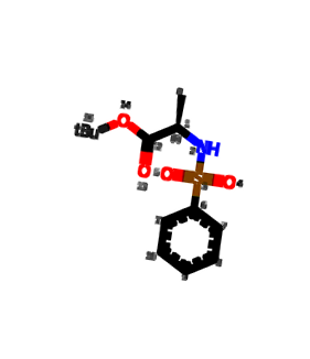 C[C@@H](NS(=O)(=O)c1ccccc1)C(=O)OC(C)(C)C